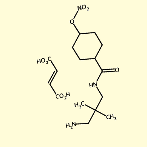 CC(C)(CN)CNC(=O)C1CCC(O[N+](=O)[O-])CC1.O=C(O)C=CC(=O)O